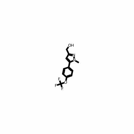 Cn1nc(CO)cc1-c1ccc(OC(F)(F)F)cc1